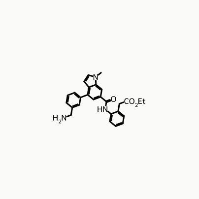 CCOC(=O)Cc1ccccc1NC(=O)c1cc(-c2cccc(CN)c2)c2ccn(C)c2c1